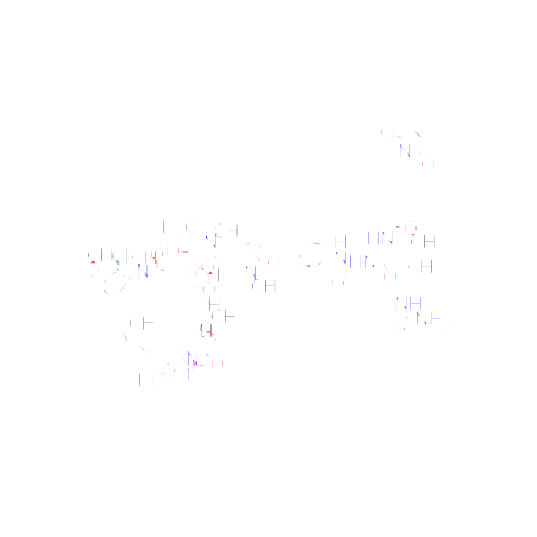 COc1cc2cc(c1Cl)N(C)C(=O)C[C@H](OC(=O)[C@H](C)N(C)C(=O)CCN(C)C(=O)OCc1ccc(NC(=O)[C@@H](CCCNC(N)=O)NC(=O)C(NC(=O)CCCCCN3C(=O)C=CC3=O)C(C)C)cc1)[C@]1(C)O[C@H]1[C@H](C)[C@@H]1C[C@@](O)(NC(=O)O1)[C@H](OC)/C=C/C=C(\C)C2